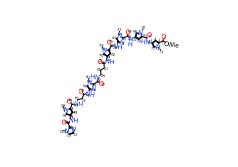 COC(=O)c1cc(NC(=O)c2cc(NC(=O)c3nc(NC(=O)c4cc(NC(=O)CCCNC(=O)c5nc(NC(=O)CCNC(=O)c6cc(NC(=O)c7nccn7C)cn6C)cn5C)cn4C)cn3C)cn2C)cn1C